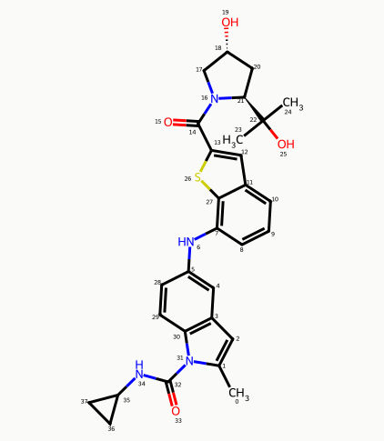 Cc1cc2cc(Nc3cccc4cc(C(=O)N5C[C@H](O)C[C@H]5C(C)(C)O)sc34)ccc2n1C(=O)NC1CC1